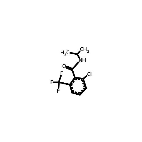 CC(C)NC(=O)c1c(Cl)cccc1C(F)(F)F